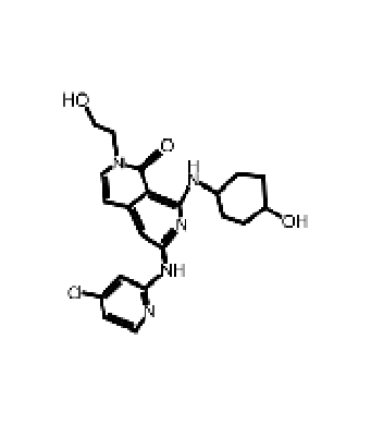 O=c1c2c(NC3CCC(O)CC3)nc(Nc3cc(Cl)ccn3)cc2ccn1CCO